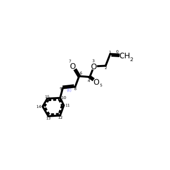 C=CCOC(=O)C(=O)/C=C/c1ccccc1